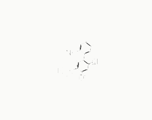 N#Cc1ccccc1-c1cc(C(=O)O)c(O)cc1Cl